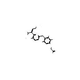 CC/C=C(\c1nc(Cc2c(C)cc(OCC(=O)O)c(C)c2C)ccc1C)C(C)C